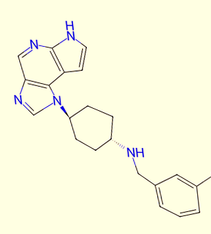 N#Cc1cccc(CN[C@H]2CC[C@H](n3cnc4cnc5[nH]ccc5c43)CC2)c1